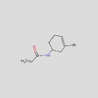 C=CC(=O)NC1CCC=C(C(C)C)C1